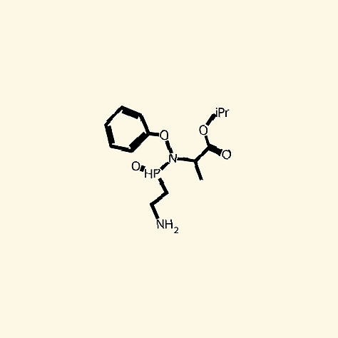 CC(C)OC(=O)C(C)N(Oc1ccccc1)[PH](=O)CCN